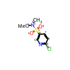 CON(C)S(=O)(=O)c1ccc(Cl)nc1